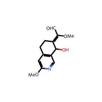 COC(C=O)=C1CCc2cc(OC)ncc2C1O